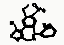 CCc1cc2c(cc1[N+](=O)[O-])C(c1ccccn1)=NCc1nnc(Br)n1-2